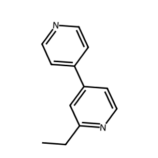 CCc1cc(-c2ccncc2)ccn1